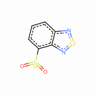 O=[SH](=O)c1cccc2nsnc12